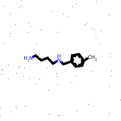 Cc1ccc(CNCCCCN)cc1